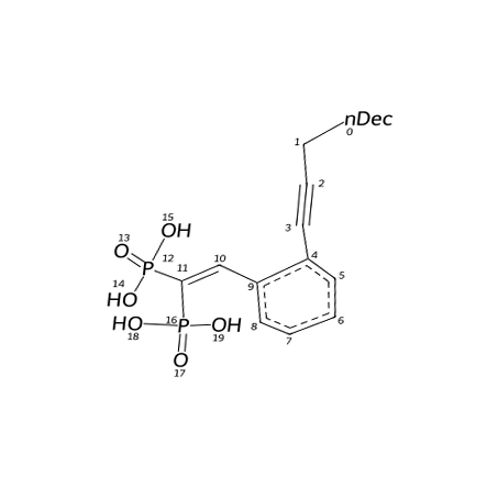 CCCCCCCCCCCC#Cc1ccccc1C=C(P(=O)(O)O)P(=O)(O)O